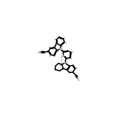 C[C@@]12CCCCC1C1=C(C=CC(C#N)C1)N2c1cccc(-n2c3ccccc3c3cc(C#N)ccc32)n1